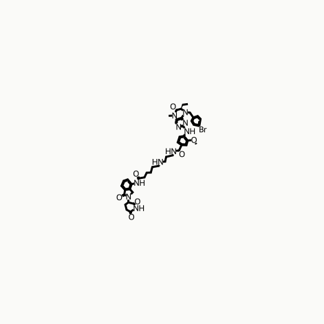 CC[C@@H]1C(=O)N(C)c2cnc(Nc3ccc(C(=O)NCCCNCCCCCC(=O)Nc4cccc5c4CN(C4CCC(=O)NC4=O)C5=O)cc3OC)nc2N1Cc1ccc(Br)cc1